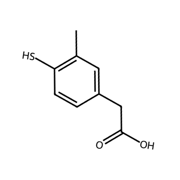 Cc1cc(CC(=O)O)ccc1S